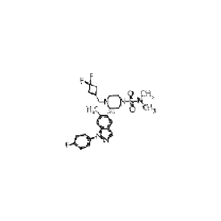 Cc1cc2c(cnn2-c2ccc(F)cc2)cc1[C@H]1CN(S(=O)(=O)N(C)C)CCN1CC1CC(F)(F)C1